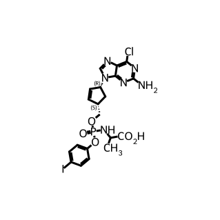 CC(NP(=O)(OC[C@@H]1C=C[C@H](n2cnc3c(Cl)nc(N)nc32)C1)Oc1ccc(I)cc1)C(=O)O